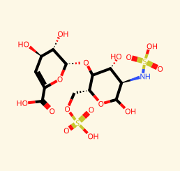 O=C(O)C1=C[C@@H](O)[C@H](O)[C@H](OC2[C@@H](COS(=O)(=O)O)OC(O)[C@H](NS(=O)(=O)O)[C@H]2O)O1